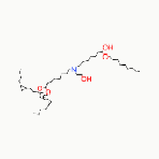 CCCCCCCCCOC(O)CCCCCCCN(CCO)CCCCCCCC(=O)OC(CCC1CC1CCCC)CCC1CC1CCCC